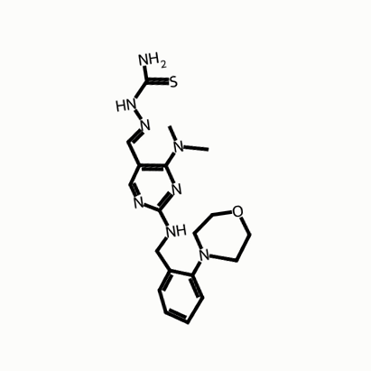 CN(C)c1nc(NCc2ccccc2N2CCOCC2)ncc1C=NNC(N)=S